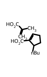 C=C(C)C(=O)O.CCCCC1CCC=C1C(=O)O